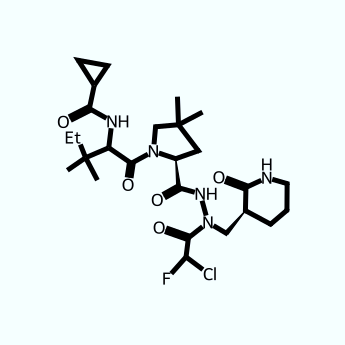 CCC(C)(C)C(NC(=O)C1CC1)C(=O)N1CC(C)(C)C[C@H]1C(=O)NN(C[C@@H]1CCCNC1=O)C(=O)C(F)Cl